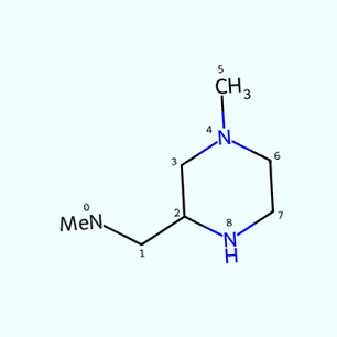 CNCC1CN(C)CCN1